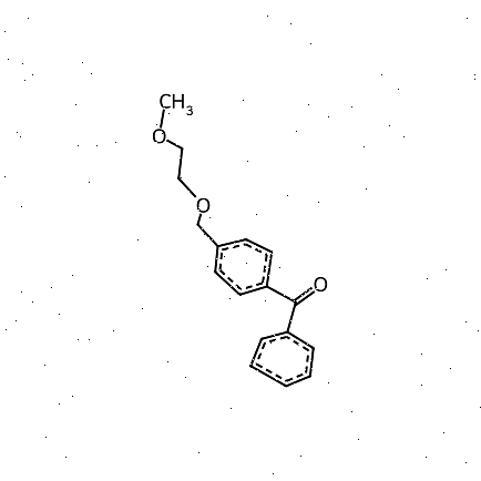 COCCOCc1ccc(C(=O)c2ccccc2)cc1